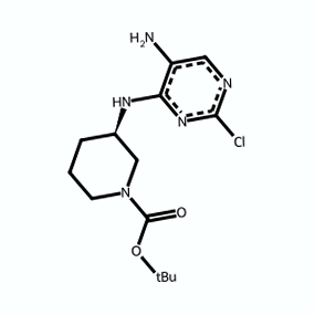 CC(C)(C)OC(=O)N1CCC[C@@H](Nc2nc(Cl)ncc2N)C1